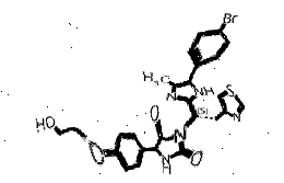 Cc1nc([C@H](Cc2cscn2)N2C(=O)NC(c3ccc(OCCO)cc3)C2=O)[nH]c1-c1ccc(Br)cc1